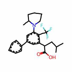 CC(C)CC(C(=O)O)c1cc(-c2ccccc2)cc(N2CCCCC2C)c1C(F)(F)F